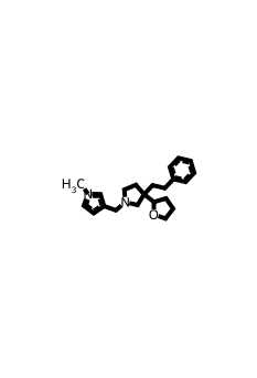 Cn1ccc(CN2CCC(CCc3ccccc3)(C3CCCO3)C2)c1